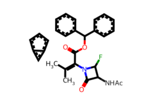 CC(=O)NC1C(=O)N(C(C(=O)OC(c2ccccc2)c2ccccc2)=C(C)C)C1F.c1cc2cc-2c1